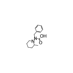 CC1CCCCN1N(Cc1ccccc1)C(=O)O